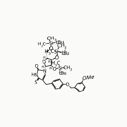 COc1cccc(COc2ccc(Cc3cn([C@@H]4O[C@H](CO[Si](C)(C)C(C)(C)C)[C@@H](O[Si](C)(C)C(C)(C)C)[C@H]4O[Si](C)(C)C(C)(C)C)c(=O)[nH]c3=S)cc2)c1